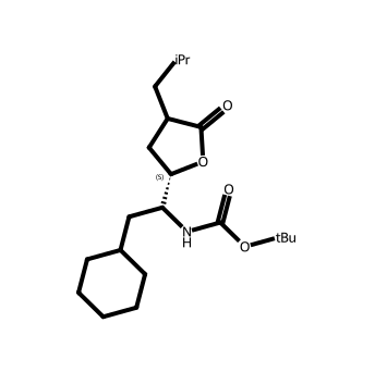 CC(C)CC1C[C@@H](C(CC2CCCCC2)NC(=O)OC(C)(C)C)OC1=O